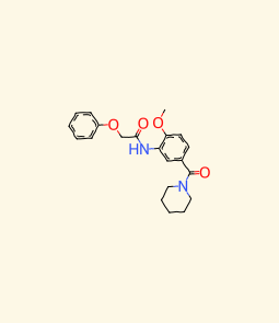 COc1ccc(C(=O)N2CCCCC2)cc1NC(=O)COc1ccccc1